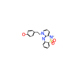 COc1ccc(CCN2C=CC=C3C2=Nc2ccccc2S(=O)(=O)N3C)cc1